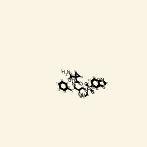 CC(C)CN(C[C@@H](O)[C@H](Cc1ccccc1)NC(=O)C1(C(N)=O)CC1)S(=O)(=O)c1ccc2ncsc2c1